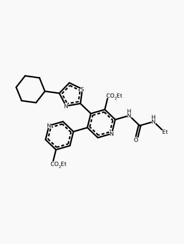 CCNC(=O)Nc1ncc(-c2cncc(C(=O)OCC)c2)c(-c2nc(C3CCCCC3)cs2)c1C(=O)OCC